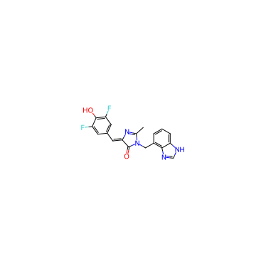 CC1=NC(=Cc2cc(F)c(O)c(F)c2)C(=O)N1Cc1cccc2[nH]cnc12